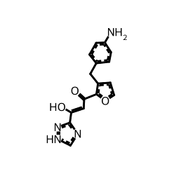 Nc1ccc(Cc2ccoc2C(=O)C=C(O)c2nc[nH]n2)cc1